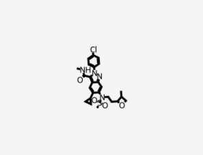 CNC(=O)c1c2cc(C3CC3)c(N(CCC3OCC3C)S(C)(=O)=O)cc2nn1-c1ccc(Cl)cc1